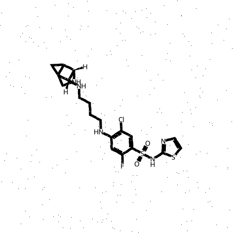 O=S(=O)(Nc1nccs1)c1cc(Cl)c(NCCCCN[C@H]2[C@H]3NCC24CC34)cc1F